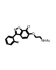 CC(=O)NCCOc1ccc2c(-c3ccccc3F)noc2c1Cl